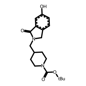 CC(C)(C)OC(=O)N1CCC(CN2Cc3ccc(O)cc3C2=O)CC1